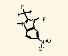 Cn1c(C(F)(F)F)[n+](C)c2ccc([N+](=O)[O-])cc21.[F-]